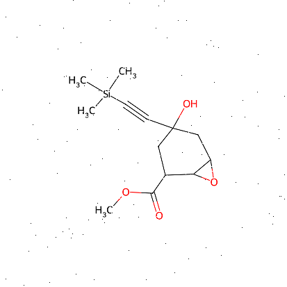 COC(=O)C1CC(O)(C#C[Si](C)(C)C)CC2OC21